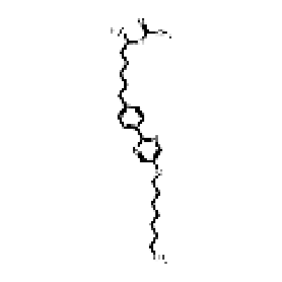 CCCCCCCCOc1cnc(-c2ccc(CCCCCC(C)OC(C)=O)cc2)nc1